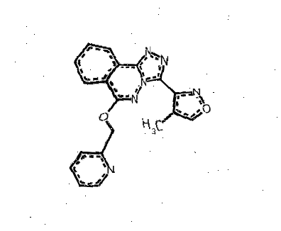 Cc1conc1-c1nnc2c3ccccc3c(OCc3ccccn3)nn12